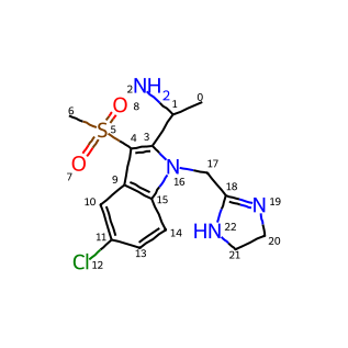 CC(N)c1c(S(C)(=O)=O)c2cc(Cl)ccc2n1CC1=NCCN1